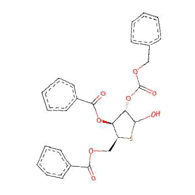 O=C(OCc1ccccc1)O[C@@H]1C(O)S[C@@H](COC(=O)c2ccccc2)[C@H]1OC(=O)c1ccccc1